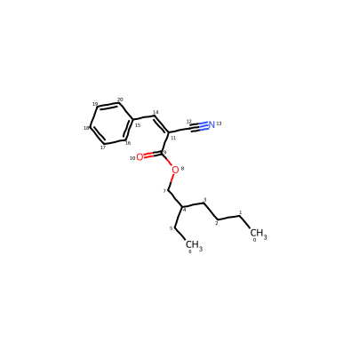 CCCCC(CC)COC(=O)C(C#N)=Cc1ccccc1